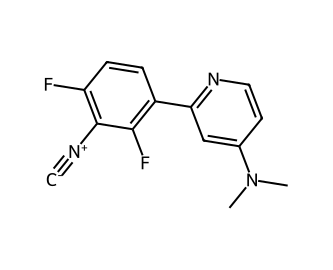 [C-]#[N+]c1c(F)ccc(-c2cc(N(C)C)ccn2)c1F